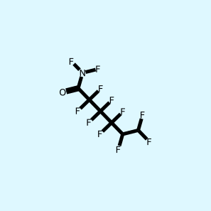 O=C(N(F)F)C(F)(F)C(F)(F)C(F)(F)C(F)C(F)F